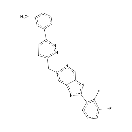 Cc1cccc(-c2ccc(Cn3cc4nc(-c5cccc(F)c5F)nc-4cn3)nn2)c1